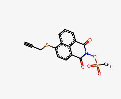 C#CCSc1ccc2c3c(cccc13)C(=O)N(OS(=O)(=O)C(F)(F)F)C2=O